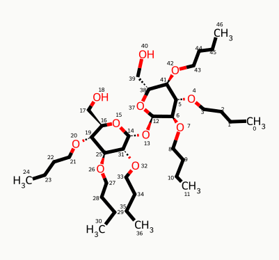 CCCCO[C@@H]1[C@@H](OCCCC)[C@@H](O[C@H]2O[C@H](CO)[C@@H](OCCCC)[C@H](OCCCC)[C@H]2OCCCC)O[C@H](CO)[C@H]1OCCCC